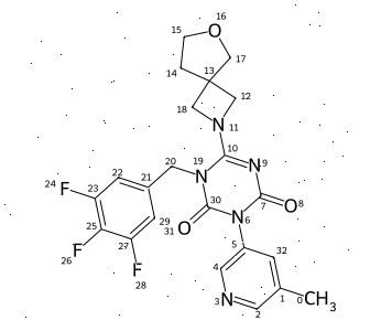 Cc1cncc(-n2c(=O)nc(N3CC4(CCOC4)C3)n(Cc3cc(F)c(F)c(F)c3)c2=O)c1